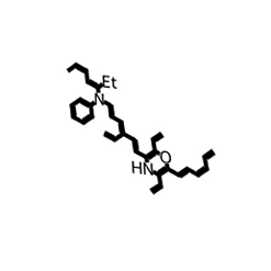 C=C/C=C\C=C\C1=C(C=C)NC(/C=C/C(C=C)=C/C=C/N(/C(=C/C=C\C)CC)c2ccccc2)=C(C=C)O1